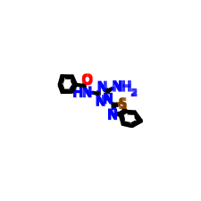 Nc1nc(NC(=O)c2ccccc2)nn1-c1nc2ccccc2s1